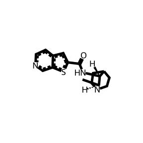 C[C@H]1[C@H](NC(=O)c2cc3ccncc3s2)C2CCN1CC2